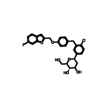 OCC1OC(c2ccc(Cl)c(Cc3ccc(OCc4cc5ccc(F)cc5o4)cc3)c2)CC(O)[C@@H]1O